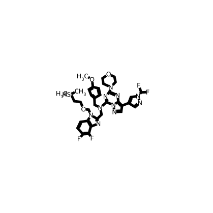 COc1ccc(CN(Cc2nc3c(F)c(F)ccc3n2COCC[SiH](C)C)c2nc(N3CCOCC3)nc3c(-c4cnn(C(F)F)c4)cnn23)cc1